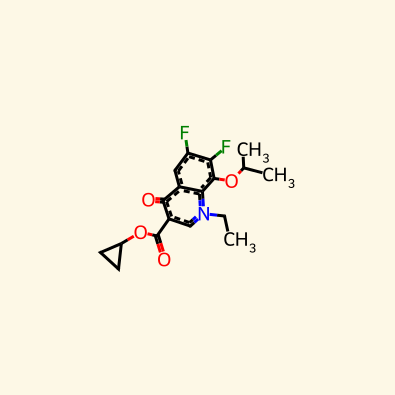 CCn1cc(C(=O)OC2CC2)c(=O)c2cc(F)c(F)c(OC(C)C)c21